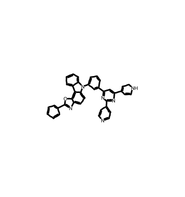 C1=CC(c2cc(-c3cccc(-n4c5ccccc5c5c6oc(-c7ccccc7)nc6ccc54)c3)nc(-c3ccncc3)n2)=CCN1